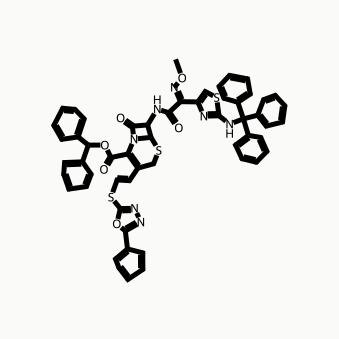 CON=C(C(=O)NC1C(=O)N2C(C(=O)OC(c3ccccc3)c3ccccc3)=C(C=CSc3nnc(-c4ccccc4)o3)CSC12)c1csc(NC(c2ccccc2)(c2ccccc2)c2ccccc2)n1